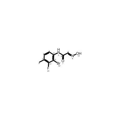 Cc1ccc(NC(=O)C=NO)c(Br)c1F